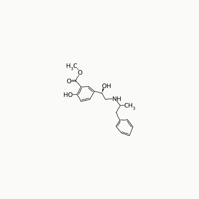 COC(=O)c1cc([C@@H](O)CNC(C)Cc2ccccc2)ccc1O